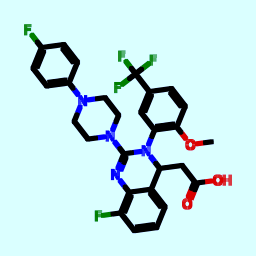 COc1ccc(C(F)(F)F)cc1N1C(N2CCN(c3ccc(F)cc3)CC2)=Nc2c(F)cccc2C1CC(=O)O